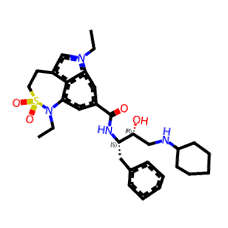 CCN1c2cc(C(=O)N[C@@H](Cc3ccccc3)[C@H](O)CNC3CCCCC3)cc3c2c(cn3CC)CCS1(=O)=O